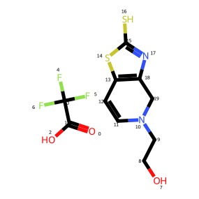 O=C(O)C(F)(F)F.OCCN1C=Cc2sc(S)nc2C1